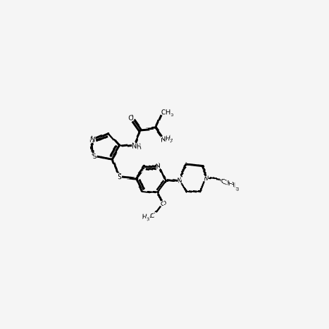 COc1cc(Sc2sncc2NC(=O)C(C)N)cnc1N1CCN(C)CC1